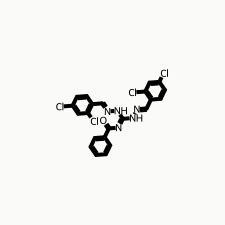 O=C(N=C(NN=Cc1ccc(Cl)cc1Cl)NN=Cc1ccc(Cl)cc1Cl)c1ccccc1